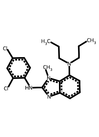 CCCN(CCC)c1cccc2nc(Nc3ccc(Cl)cc3Cl)n(C)c12